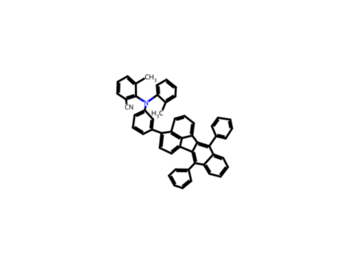 Cc1ccccc1N(c1cccc(-c2ccc3c4c(cccc24)-c2c-3c(-c3ccccc3)c3ccccc3c2-c2ccccc2)c1)c1c(C)cccc1C#N